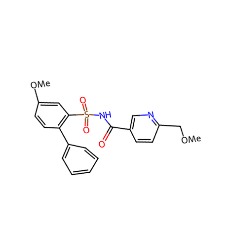 COCc1ccc(C(=O)NS(=O)(=O)c2cc(OC)ccc2-c2ccccc2)cn1